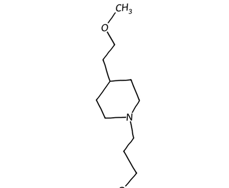 COCCC1CCN(CCC[O])CC1